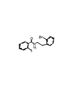 O=C(NCCc1ccccc1Br)c1ccccc1I